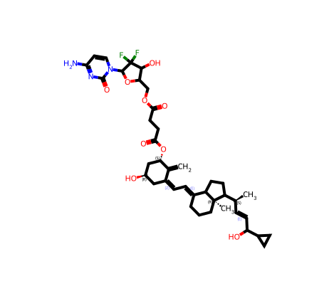 C=C1/C(=C\C=C2/CCC[C@@]3(C)C2CCC3[C@@H](C)/C=C/C(O)C2CC2)C[C@@H](O)C[C@@H]1OC(=O)CCC(=O)OCC1OC(n2ccc(N)nc2=O)C(F)(F)C1O